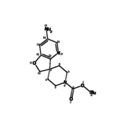 CC(C)(C)OC(=O)N1CCC2(CC1)COc1cc(N)cnc12